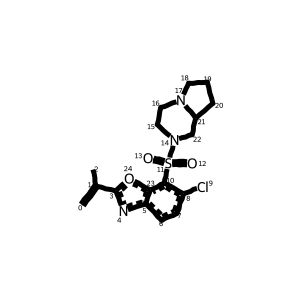 C=C(C)c1nc2ccc(Cl)c(S(=O)(=O)N3CCN4CCCC4C3)c2o1